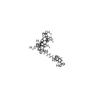 C=C(C)[C@@H]1CC[C@]2(C(=O)NCCCCCCCC(=O)Nc3cc(C(=O)O)ccc3Cl)CC[C@]3(C)[C@H](CCC4[C@@]5(C)CC[C@H](OC(C)=O)C(C)(C)[C@@H]5CC[C@]43C)[C@@H]12